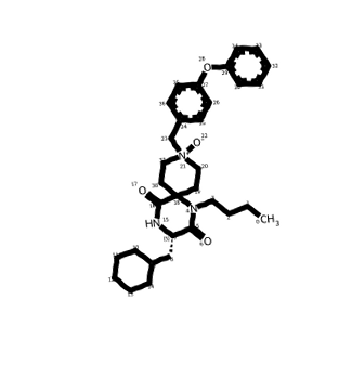 CCCCN1C(=O)[C@H](CC2CCCCC2)NC(=O)C12CC[N+]([O-])(Cc1ccc(Oc3ccccc3)cc1)CC2